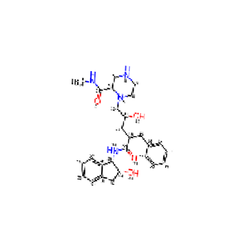 CC(C)(C)NC(=O)C1CNCCN1CC(O)CC(Cc1ccccc1)C(=O)N[C@H]1c2ccccc2C[C@H]1O